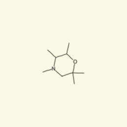 CC1OC(C)(C)CN(C)C1C